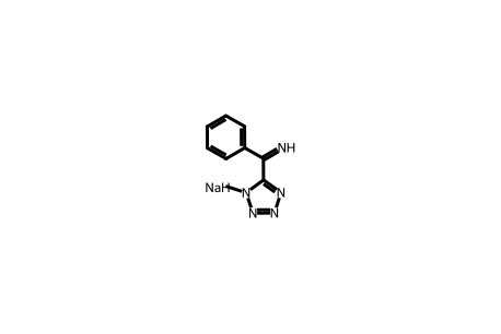 Cn1nnnc1C(=N)c1ccccc1.[NaH]